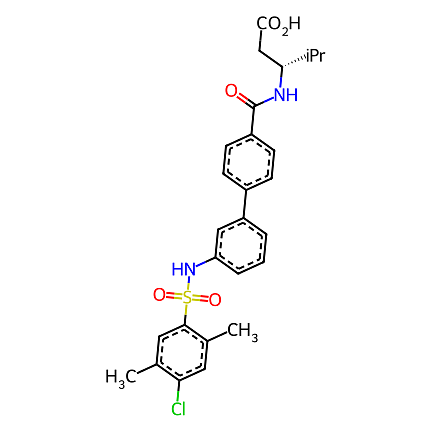 Cc1cc(S(=O)(=O)Nc2cccc(-c3ccc(C(=O)N[C@H](CC(=O)O)C(C)C)cc3)c2)c(C)cc1Cl